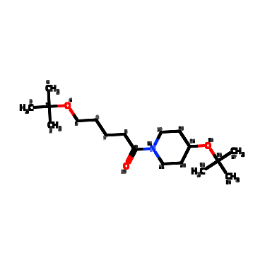 CC(C)(C)OCCCCC(=O)N1CCC(OC(C)(C)C)CC1